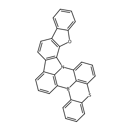 c1ccc2c(c1)Sc1cccc3c1B2c1cccc2c4ccc5c6ccccc6oc5c4n-3c12